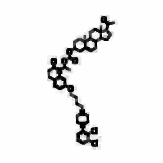 CC(=O)C1CCC2C3CC=C4CC(OC(=O)OC(C)N5C(=O)CCc6ccc(OCCCCN7CCN(c8cccc(Cl)c8Cl)CC7)cc65)CCC4(C)C3CCC12C